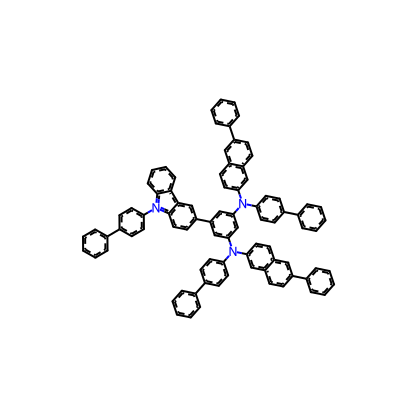 c1ccc(-c2ccc(N(c3cc(-c4ccc5c(c4)c4ccccc4n5-c4ccc(-c5ccccc5)cc4)cc(N(c4ccc(-c5ccccc5)cc4)c4ccc5cc(-c6ccccc6)ccc5c4)c3)c3ccc4cc(-c5ccccc5)ccc4c3)cc2)cc1